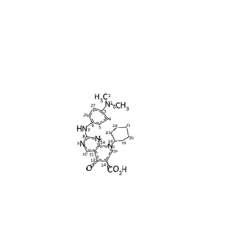 CN(C)c1ccc(Nc2ncc3c(=O)c(C(=O)O)cn(C4CCCCC4)c3n2)cc1